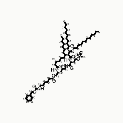 CCCCCCCCCCCC(=O)O[C@H](CCCCCCCCCCC)CC(=O)N[C@@H](CCOP(C)(C)=O)C(=O)NCCC[C@H](COC(=O)CCCCCNC(=O)OCc1ccccc1)NC(=O)C[C@H](C)CCCCCCCCCCC